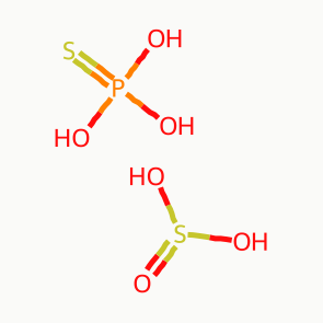 O=S(O)O.OP(O)(O)=S